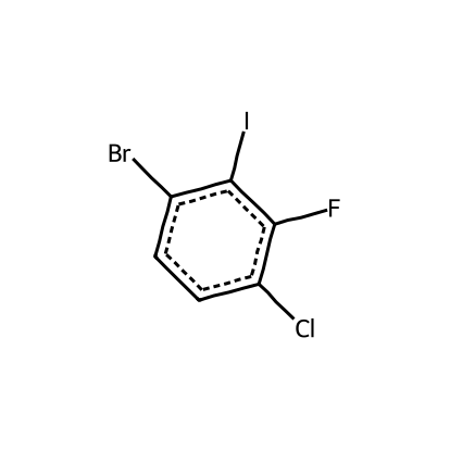 Fc1c(Cl)ccc(Br)c1I